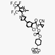 Cn1nc(C(F)(F)C(F)(F)F)c(C(F)(F)F)c1-n1cc(-c2ccc(Cl)c(C(=O)N(COC(=O)O[C@H]3CC[C@@H](C(=O)OC(C)(C)C)CC3)C3(C#N)CC3)c2)cn1